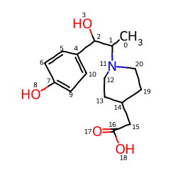 CC(C(O)c1ccc(O)cc1)N1CCC(CC(=O)O)CC1